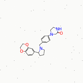 O=C1CN(c2ccc(CN3CCCC3c3ccc4c(c3)OCCO4)cc2)CCN1